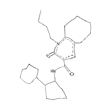 CCCCn1c2c(cc(C(=O)NC3CCCCC3C3CCCCC3)c1=O)CCCCCC2